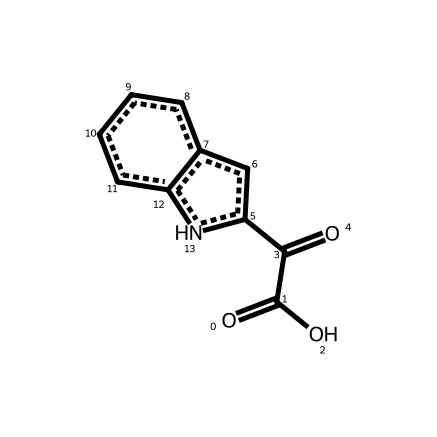 O=C(O)C(=O)c1cc2ccccc2[nH]1